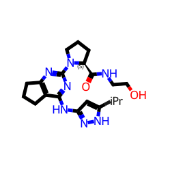 CC(C)c1cc(Nc2nc(N3CCC[C@H]3C(=O)NCCO)nc3c2CCC3)n[nH]1